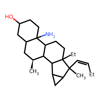 CC/C=C\C1(C)C2CC2C2C3C(CCC21CC)C1(N)CCC(O)CC1C[C@@H]3C